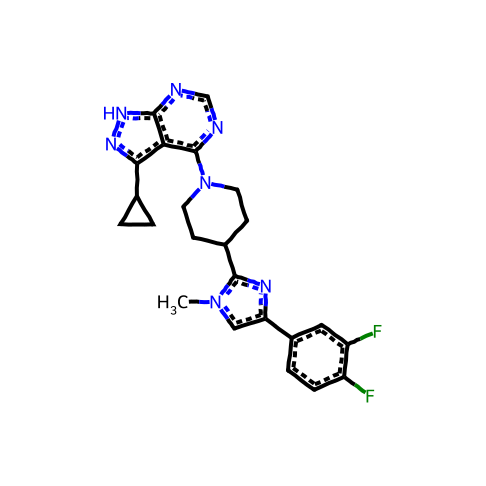 Cn1cc(-c2ccc(F)c(F)c2)nc1C1CCN(c2ncnc3[nH]nc(C4CC4)c23)CC1